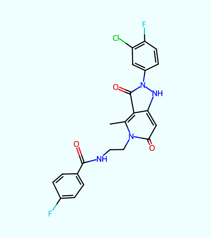 Cc1c2c(=O)n(-c3ccc(F)c(Cl)c3)[nH]c2cc(=O)n1CCNC(=O)c1ccc(F)cc1